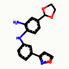 Nc1cc(C2OCCO2)ccc1Nc1cccc(-c2ccon2)c1